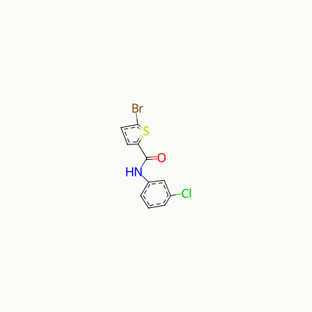 O=C(Nc1cccc(Cl)c1)c1ccc(Br)s1